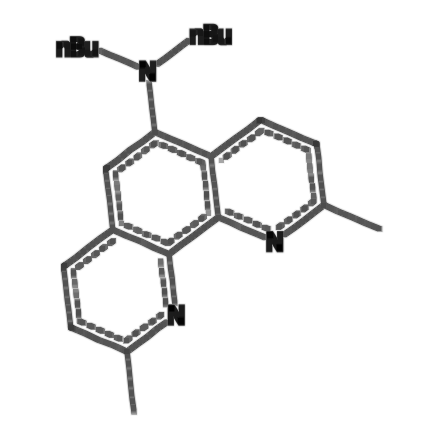 CCCCN(CCCC)c1cc2ccc(C)nc2c2nc(C)ccc12